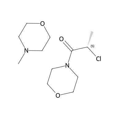 CN1CCOCC1.C[C@H](Cl)C(=O)N1CCOCC1